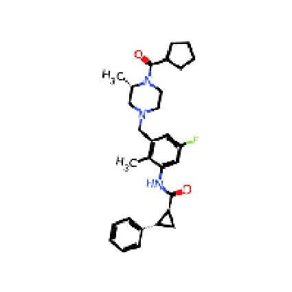 Cc1c(CN2CCN(C(=O)C3CCCC3)[C@@H](C)C2)cc(F)cc1NC(=O)[C@H]1C[C@@H]1c1ccccc1